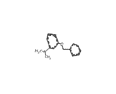 CN(C)c1cc[c]c(OCc2ccccc2)c1